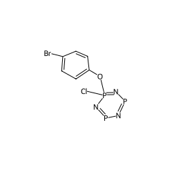 ClP1(Oc2ccc(Br)cc2)=NP=NP=N1